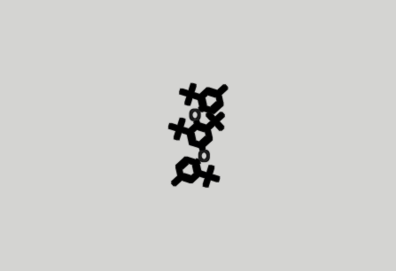 Cc1ccc(Oc2cc(C(C)(C)C)c(Oc3ccc(C)cc3C(C)(C)C)c(C(C)(C)C)c2)c(C(C)(C)C)c1